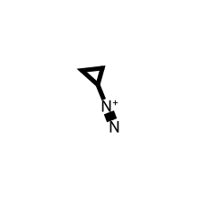 N#[N+]C1CC1